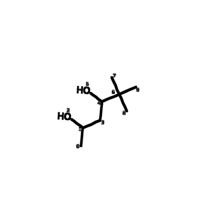 CC(O)CC(O)C(C)(C)C